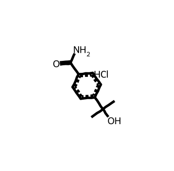 CC(C)(O)c1ccc(C(N)=O)cc1.Cl